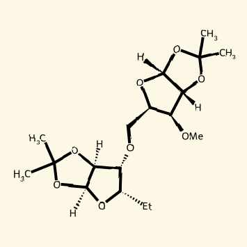 CC[C@@H]1O[C@H]2OC(C)(C)O[C@H]2[C@@H]1OC[C@H]1O[C@@H]2OC(C)(C)O[C@@H]2[C@H]1OC